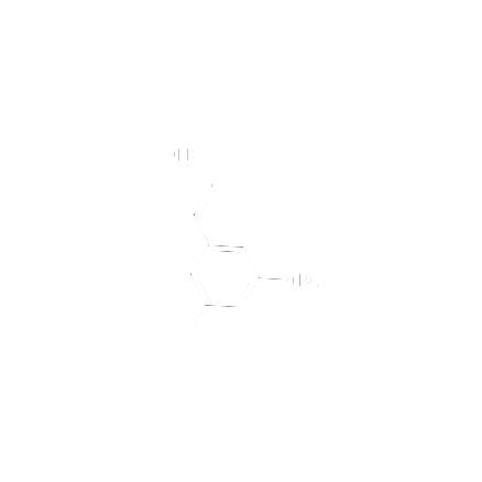 Cc1cc(C=CC=O)cc(C(C)(C)C)c1